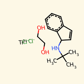 CC(C)(C)NC1C=Cc2ccccc21.OCCO.[Cl-].[Cl-].[Ti+2]